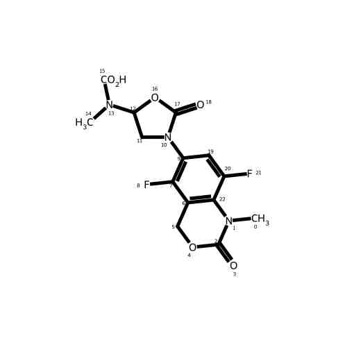 CN1C(=O)OCc2c(F)c(N3CC(N(C)C(=O)O)OC3=O)cc(F)c21